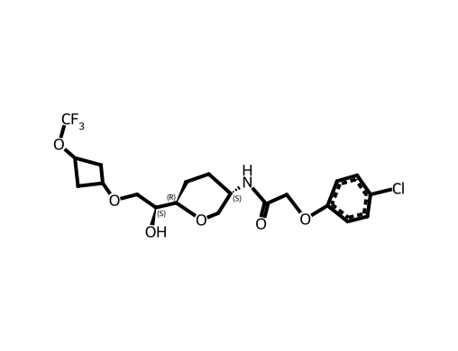 O=C(COc1ccc(Cl)cc1)N[C@H]1CC[C@H]([C@@H](O)COC2CC(OC(F)(F)F)C2)OC1